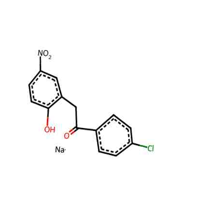 O=C(Cc1cc([N+](=O)[O-])ccc1O)c1ccc(Cl)cc1.[Na]